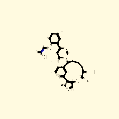 CC1CCCC(n2cnc(-c3cc(Cl)ccc3N/C=C(\N)C(=O)O)cc2=O)c2ccnc(c2)-c2c(cnn2C)NC1=O